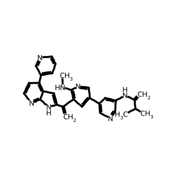 C=C(c1cc2c(-c3cccnc3)ccnc2[nH]1)c1cc(-c2cncc(NC(=C)C(C)C)c2)cnc1NC